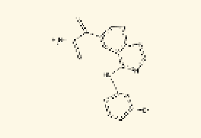 C=C(C(N)=O)c1ccc2ncnc(Nc3cccc(Br)c3)c2c1